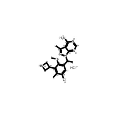 COc1c(C(C)n2nc(C)c3c(N)ncnc32)cc(Cl)c(C)c1C1CNC1.Cl